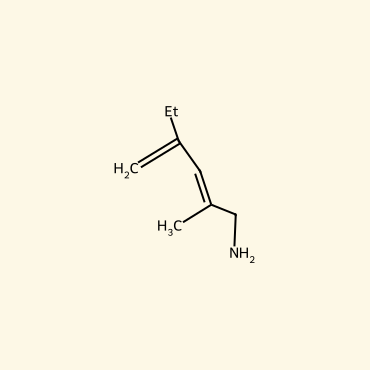 C=C(/C=C(\C)CN)CC